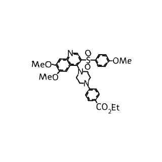 CCOC(=O)c1ccc(N2CCN(c3c(S(=O)(=O)c4ccc(OC)cc4)cnc4cc(OC)c(OC)cc34)CC2)cc1